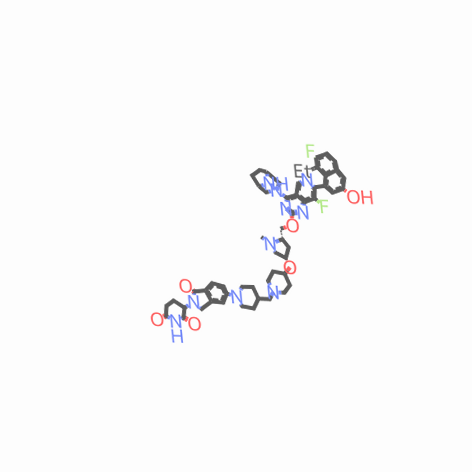 CCc1c(F)ccc2cc(O)cc(-c3ncc4c(N5CC6CCC(C5)N6)nc(OC[C@@H]5C[C@@H](OC6CCN(CC7CCN(c8ccc9c(c8)CN(C8CCC(=O)NC8=O)C9=O)CC7)CC6)CN5C)nc4c3F)c12